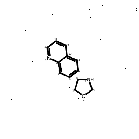 C1COCN1.c1ccc2ncccc2c1